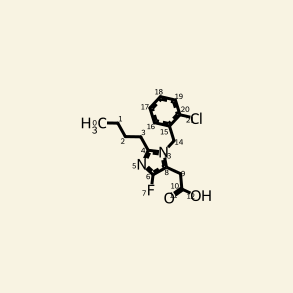 CCCCc1nc(F)c(CC(=O)O)n1Cc1ccccc1Cl